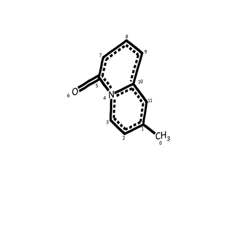 Cc1ccn2c(=O)cccc2c1